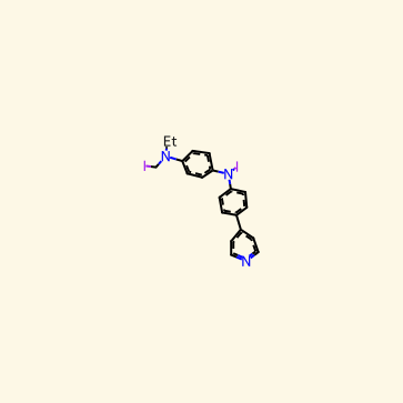 CCN(CI)c1ccc(N(I)c2ccc(-c3ccncc3)cc2)cc1